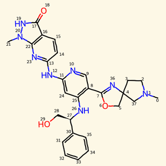 CN1CCC2(COC(c3cnc(Nc4ccc5c(=O)[nH]n(C)c5n4)cc3N[C@H](CO)c3ccccc3)=N2)C1